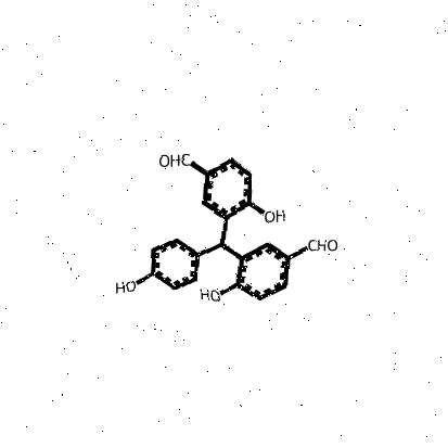 O=Cc1ccc(O)c(C(c2ccc(O)cc2)c2cc(C=O)ccc2O)c1